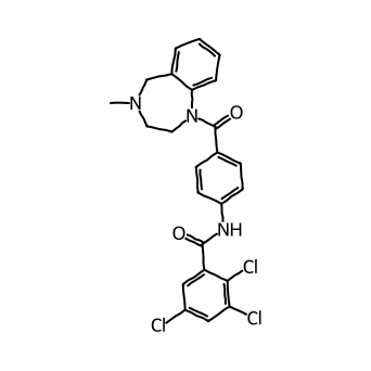 CN1CCN(C(=O)c2ccc(NC(=O)c3cc(Cl)cc(Cl)c3Cl)cc2)c2ccccc2C1